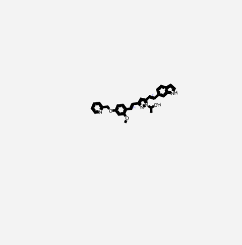 COc1cc(OCc2ccccn2)ccc1/C=C/c1cc(/C=C/c2ccc3cc[nH]c3c2)n(C(C)O)n1